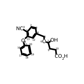 N#Cc1ccc(COC(O)CCC(=O)O)cc1Oc1ccccc1